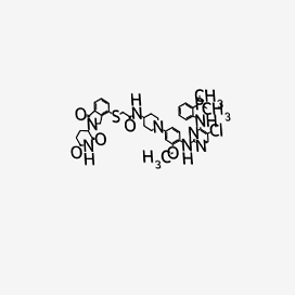 COc1cc(N2CCC(NC(=O)CSc3cccc4c3CN(C3CCC(=O)NC3=O)C4=O)CC2)ccc1Nc1ncc(Cl)c(Nc2ccccc2P(C)C)n1